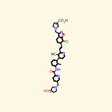 Cc1c(NC(=O)c2ccc(CN3CC[C@@H](O)C3)cn2)cccc1-c1ccnc(/C=C/c2ccc3c(CN4CC[C@@H](C(=O)O)C4)noc3c2Cl)c1C#N